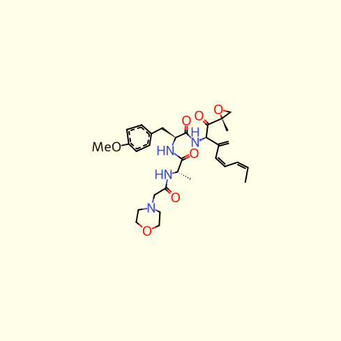 C=C(/C=C\C=C/C)[C@@H](NC(=O)[C@H](Cc1ccc(OC)cc1)NC(=O)[C@H](C)NC(=O)CN1CCOCC1)C(=O)[C@@]1(C)CO1